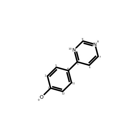 [O]c1ccc(-c2ccncn2)cc1